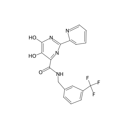 O=C(NCc1cccc(C(F)(F)F)c1)c1nc(-c2ccccn2)nc(O)c1O